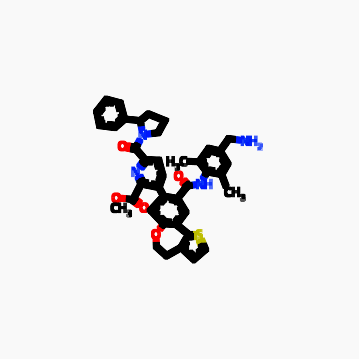 COC(=O)c1nc(C(=O)N2CCCC2c2ccccc2)ccc1-c1cc2c(cc1C(=O)Nc1c(C)cc(CN)cc1C)-c1sccc1CCO2